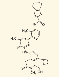 Cc1c(NC(=O)c2cc3c(s2)CCCC3)cccc1-c1cn(C)c(=O)c(Nc2ccc(N3CCC3)cc2CC(=O)N(C)CCO)n1